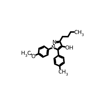 CCCCc1nn(-c2ccc(OC)cc2)c(-c2ccc(C)cc2)c1O